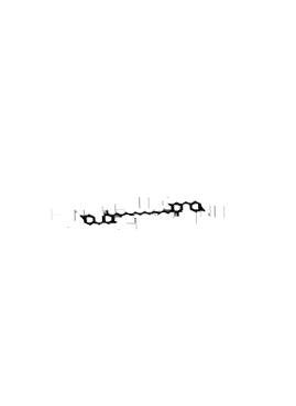 Cc1cc(Cc2ccc(N)cc2)cc(C)c1CCCCCCCCCCCCc1c(C)cc(Cc2ccc(N)cc2)cc1C